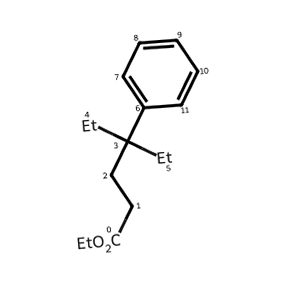 CCOC(=O)CCC(CC)(CC)c1ccccc1